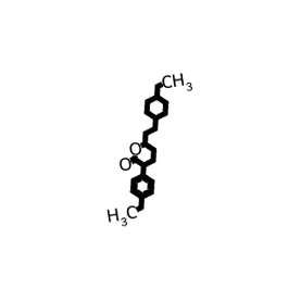 CCc1ccc(C2CCC(CCC3CCC(CC)CC3)OC2=O)cc1